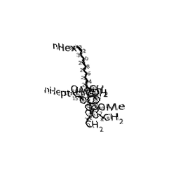 C=CCOP(=O)(OCC=C)O[C@H]1[C@H](OCC[C@@H](CCCCCCC)OC)[C@@H](NC(=C)CCCCCCCCC/C=C\CCCCCC)C(O)O[C@@H]1COC